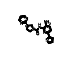 Nc1ccc(-c2cccs2)nc1NC(=O)N1CC[C@@H](c2ncccn2)C1